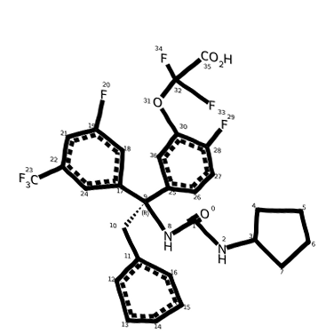 O=C(NC1CCCC1)N[C@@](Cc1ccccc1)(c1cc(F)cc(C(F)(F)F)c1)c1ccc(F)c(OC(F)(F)C(=O)O)c1